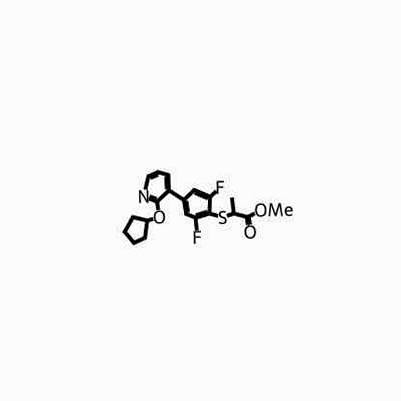 COC(=O)C(C)Sc1c(F)cc(-c2cccnc2OC2CCCC2)cc1F